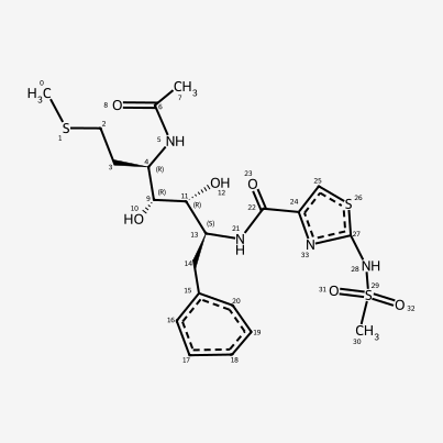 CSCC[C@@H](NC(C)=O)[C@@H](O)[C@H](O)[C@H](Cc1ccccc1)NC(=O)c1csc(NS(C)(=O)=O)n1